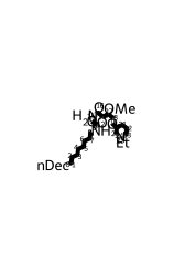 CCCCCCCCCCCCCCCCCCNC(=O)OC(C(N)=O)C(COC1CCCN(CC)C1)OC